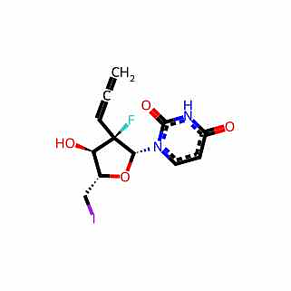 C=C=C[C@@]1(F)[C@H](O)[C@@H](CI)O[C@H]1n1ccc(=O)[nH]c1=O